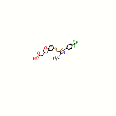 Cc1nc(-c2ccc(C(F)(F)F)cc2)sc1CSc1ccc2c(c1)CC(CC(=O)O)CO2